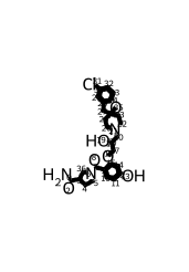 NC(=O)C1CCN(C(=O)c2ccc(O)cc2OC[C@H](O)CN2CCC3(CC2)Cc2cc(Cl)ccc2O3)C1